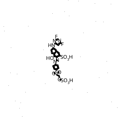 O=S(=O)(O)OCCS(=O)(=O)c1ccc(/N=N/c2c(S(=O)(=O)O)cc3cc(Nc4cc(F)nc(F)n4)ccc3c2O)cc1